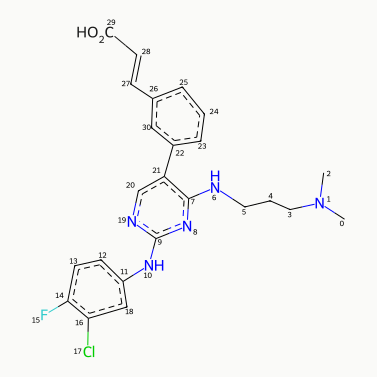 CN(C)CCCNc1nc(Nc2ccc(F)c(Cl)c2)ncc1-c1cccc(C=CC(=O)O)c1